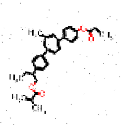 C=CC(=O)Oc1ccc(C2=CC=C(c3ccc(C(CC)COC(=O)C(=C)C)cc3)CC(C)=C2)cc1